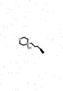 C#CCCC[N+]1(S)CCOCC1